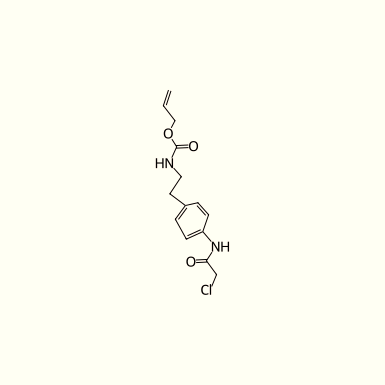 C=CCOC(=O)NCCc1ccc(NC(=O)CCl)cc1